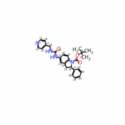 CC(C)(C)OC(=O)N1c2ccc(NC(=O)NCc3ccncc3)cc2CC1c1ccccc1